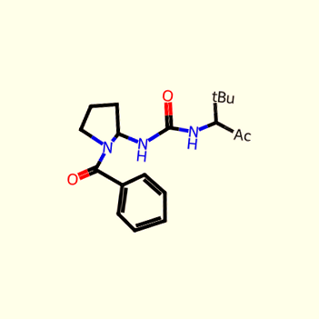 CC(=O)C(NC(=O)NC1CCCN1C(=O)c1ccccc1)C(C)(C)C